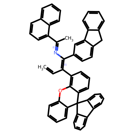 C=C/C(=C(\N=C(/C)c1cccc2ccccc12)c1ccc2c(c1)-c1ccccc1C2)c1cccc2c1Oc1ccccc1C21c2ccccc2-c2ccccc21